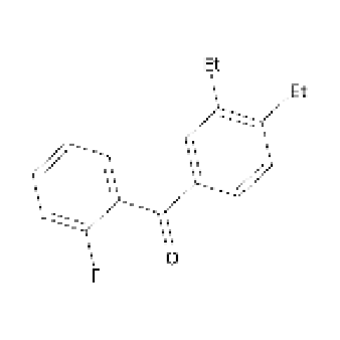 CCc1ccc(C(=O)c2ccccc2F)cc1CC